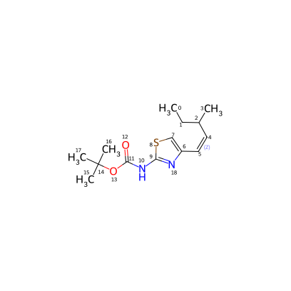 CCC(C)/C=C\c1csc(NC(=O)OC(C)(C)C)n1